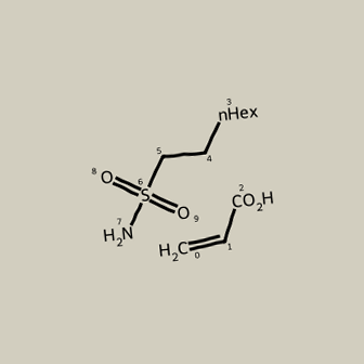 C=CC(=O)O.CCCCCCCCS(N)(=O)=O